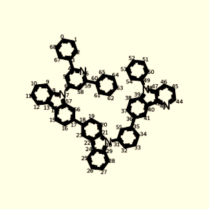 c1ccc(-c2cc(-n3c4ccccc4c4ccc(-c5ccc6c(c5)c5ccccc5n6-c5cccc(-c6ccc7c(c6)c6ncccc6n7-c6ccccc6)c5)cc43)cc(-c3ccccc3)n2)cc1